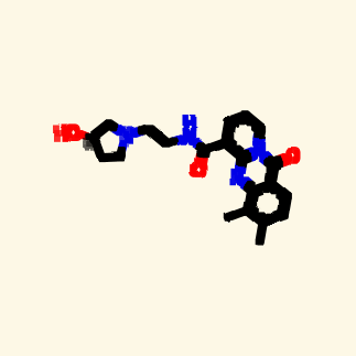 Cc1ccc2c(=O)n3cccc(C(=O)NCCN4CC[C@@H](O)C4)c3nc2c1C